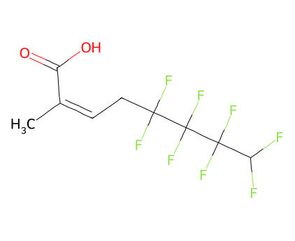 CC(=CCC(F)(F)C(F)(F)C(F)(F)C(F)F)C(=O)O